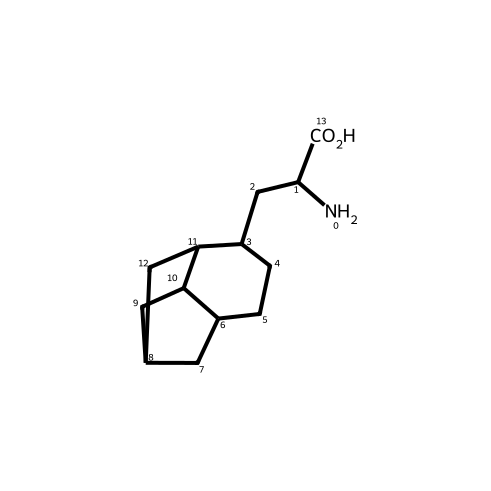 NC(CC1CCC2CC3CC2C1C3)C(=O)O